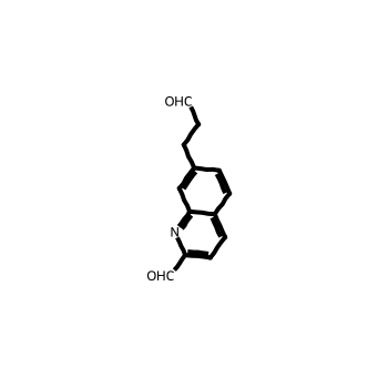 O=CCCc1ccc2ccc(C=O)nc2c1